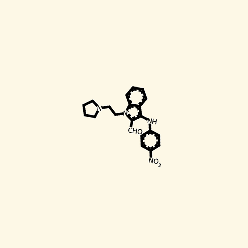 O=Cc1c(Nc2ccc([N+](=O)[O-])cc2)c2ccccc2n1CCN1CCCC1